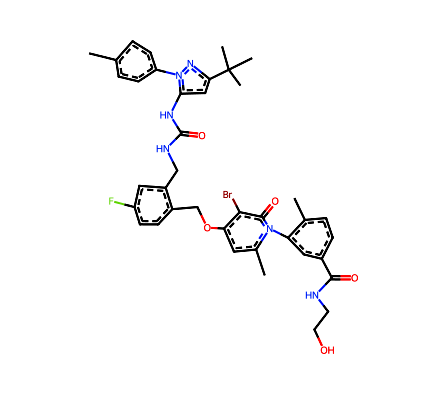 Cc1ccc(-n2nc(C(C)(C)C)cc2NC(=O)NCc2cc(F)ccc2COc2cc(C)n(-c3cc(C(=O)NCCO)ccc3C)c(=O)c2Br)cc1